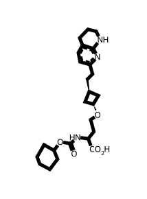 O=C(NC(CCO[C@H]1C[C@H](CCc2ccc3c(n2)NCCC3)C1)C(=O)O)OC1CCCCC1